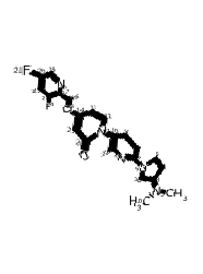 CN(C)C1CCN(c2ccc(-n3ccc(OCc4ncc(F)cc4F)cc3=O)cn2)C1